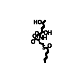 C/C=C/C=C/C(=O)SCC[C@H](NC(=O)C(O)/C=C/C(C)O)C(=O)O